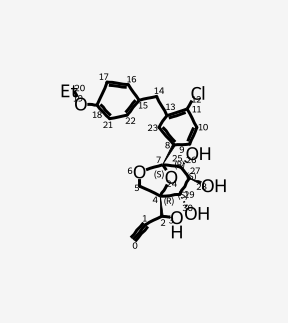 C#CC(O)[C@@]12CO[C@@](c3ccc(Cl)c(Cc4ccc(OCC)cc4)c3)(O1)[C@H](O)[C@@H](O)[C@@H]2O